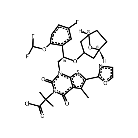 Cc1c(-c2ncco2)sc2c1c(=O)n(C(C)(C)C(=O)Cl)c(=O)n2C[C@H](OC1C[C@H]2CC[C@@H](C1)O2)c1cc(F)ccc1OC(F)F